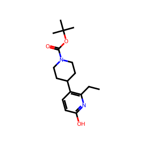 CCc1nc(O)ccc1C1CCN(C(=O)OC(C)(C)C)CC1